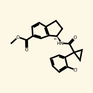 COC(=O)c1ccc2c(c1)[C@H](NC(=O)C1(c3ccccc3Cl)CC1)CC2